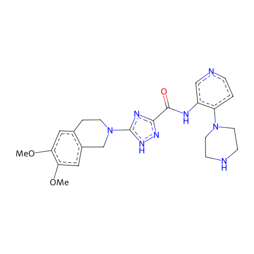 COc1cc2c(cc1OC)CN(c1nc(C(=O)Nc3cnccc3N3CCNCC3)n[nH]1)CC2